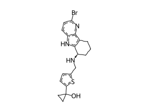 OC1(c2ccc(CN[C@@H]3CCCc4c3[nH]c3ccc(Br)nc43)s2)CC1